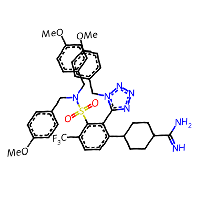 COc1ccc(CN(Cc2ccc(OC)cc2)S(=O)(=O)c2c(C(F)(F)F)ccc(C3CCC(C(=N)N)CC3)c2-c2nnnn2Cc2ccc(OC)cc2)cc1